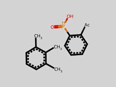 CC(=O)c1ccccc1[PH](=O)O.Cc1cccc(C)c1C